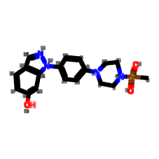 CS(=O)(=O)N1CCN(c2ccc(-n3ncc4ccc(O)cc43)cc2)CC1